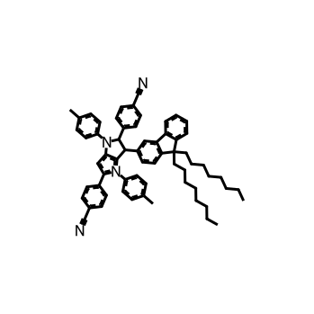 CCCCCCCCC1(CCCCCCCC)c2ccccc2-c2cc(C3c4c(cc(-c5ccc(C#N)cc5)n4-c4ccc(C)cc4)N(c4ccc(C)cc4)C3c3ccc(C#N)cc3)ccc21